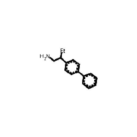 CCC(CN)c1ccc(-c2ccccc2)cc1